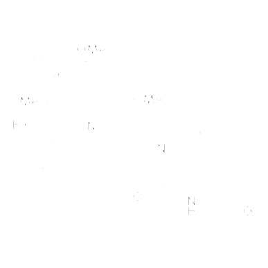 COC(CN(C(=O)C(F)(F)F)C(C)P(=O)(OC)OC)n1ccc(=O)[nH]c1=O